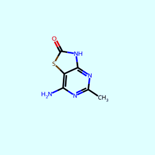 Cc1nc(N)c2sc(=O)[nH]c2n1